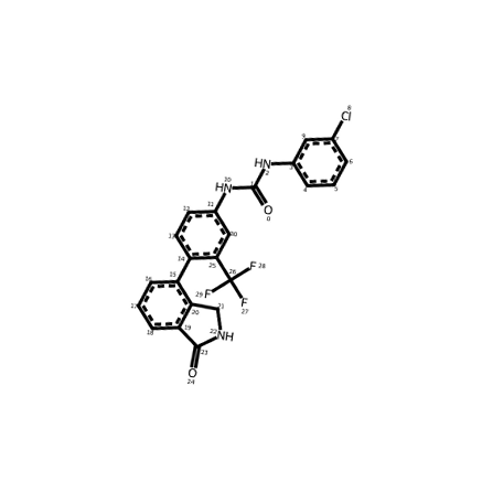 O=C(Nc1cccc(Cl)c1)Nc1ccc(-c2cccc3c2CNC3=O)c(C(F)(F)F)c1